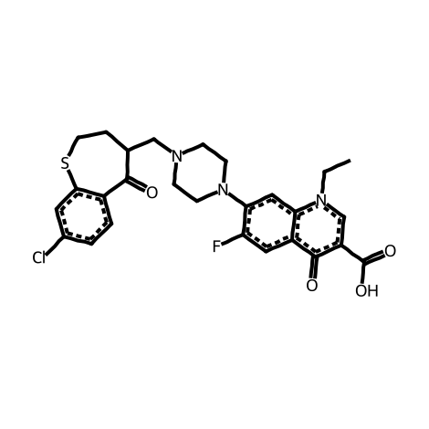 CCn1cc(C(=O)O)c(=O)c2cc(F)c(N3CCN(CC4CCSc5cc(Cl)ccc5C4=O)CC3)cc21